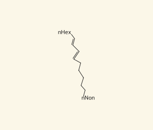 CCCCCCC=CC=CCCCCCCCCCCCCCC